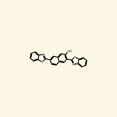 Oc1cc2cc(-c3nc4ccccc4s3)ccc2cc1-c1nc2ccccc2s1